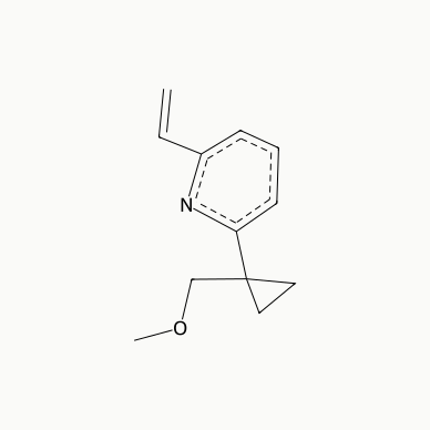 C=Cc1cccc(C2(COC)CC2)n1